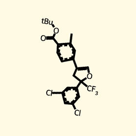 Cc1cc(C2=COC(c3cc(Cl)cc(Cl)c3)(C(F)(F)F)C2)ccc1C(=O)OC(C)(C)C